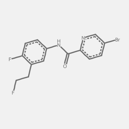 O=C(Nc1ccc(F)c(CCF)c1)c1ccc(Br)cn1